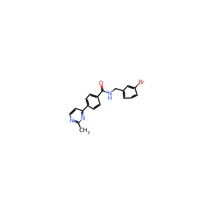 Cc1nccc(-c2ccc(C(=O)NCc3cccc(Br)c3)cc2)n1